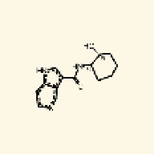 O=C(N[C@@H]1CCCC[C@H]1O)c1c[nH]c2ccncc12